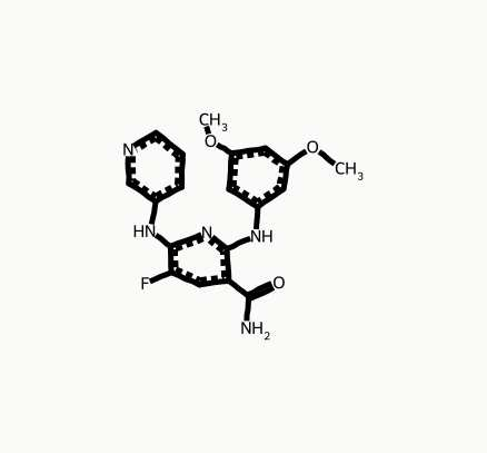 COc1cc(Nc2nc(Nc3cccnc3)c(F)cc2C(N)=O)cc(OC)c1